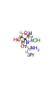 CC(C)CC(N)C(=O)N1CC[C@H]2OC[C@H](O)[C@H]21.Cl